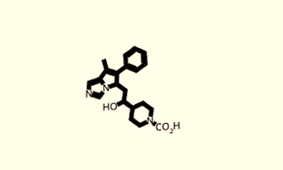 CC1=C(c2ccccc2)C(CC(O)C2CCN(C(=O)O)CC2)n2cncc21